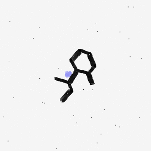 C=C/C(C)=c1/ccccc1=C